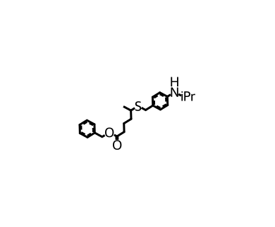 CC(C)Nc1ccc(CSC(C)CCCC(=O)OCc2ccccc2)cc1